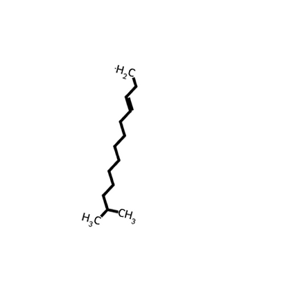 [CH2]CC=CCCCCCCCC(C)C